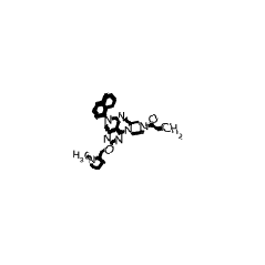 C=CC(=O)N1CCN(c2nc(OCC3CCCN3C)nc3c2CCN(c2cccc4ccccc24)C3)C(C#N)C1